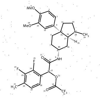 COc1ccc([C@@]23CC[C@@H](NC(=O)N(OC(=O)C(F)(F)F)c4ccc(C)c(F)c4F)C[C@@H]2N(C)CC3)cc1OC